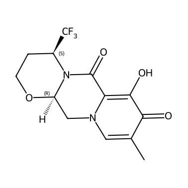 Cc1cn2c(c(O)c1=O)C(=O)N1[C@H](C(F)(F)F)CCO[C@@H]1C2